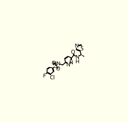 C[C@@H](NC(=O)c1ccc(CNS(=O)(=O)c2ccc(F)c(Cl)c2)nn1)c1cncs1